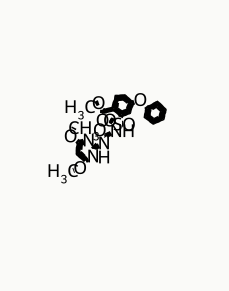 COC(=O)c1ccc(Oc2ccccc2)cc1S(=O)(=O)NC(=O)Nc1nc(OC)cc(OC)n1